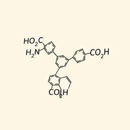 C=Cc1c(C(=O)O)ccc(-c2cc(-c3ccc(C(=O)O)cc3)cc(-c3ccc(C(=O)O)c(N)c3)c2)c1/C=C\C